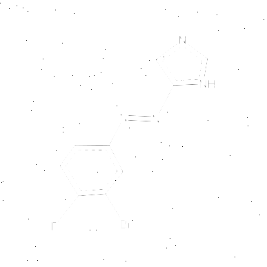 Fc1ccc(N=Nc2cnc[nH]2)cc1Br